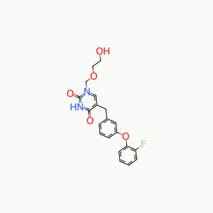 O=c1[nH]c(=O)n(COCCO)cc1Cc1cccc(Oc2ccccc2F)c1